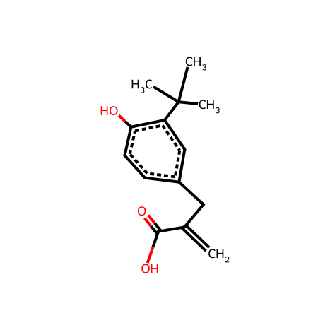 C=C(Cc1ccc(O)c(C(C)(C)C)c1)C(=O)O